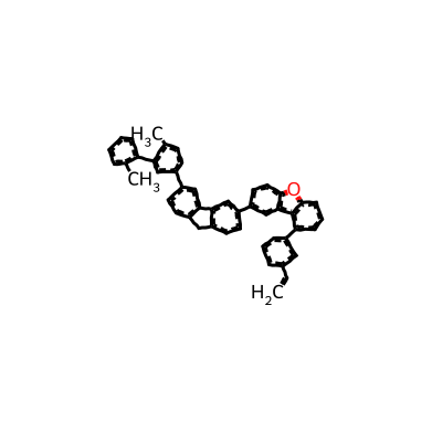 C=Cc1cccc(-c2cccc3oc4ccc(-c5ccc6c(c5)-c5cc(-c7ccc(C)c(-c8ccccc8C)c7)ccc5C6)cc4c23)c1